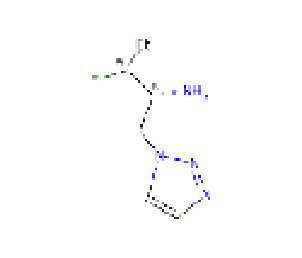 CC[C@@H](F)[C@H](N)Cn1ccnn1